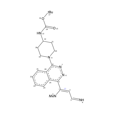 CN/C(=C\C=N)c1nnc(N2CCC(NC(=O)OC(C)(C)C)CC2)c2ccccc12